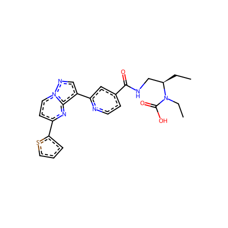 CC[C@H](CNC(=O)c1ccnc(-c2cnn3ccc(-c4cccs4)nc23)c1)N(CC)C(=O)O